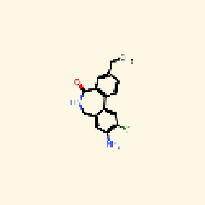 CCc1ccc2c(c1)C(=O)NCc1cc(N)c(Cl)cc1-2